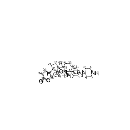 C[C@]12CCC(N3CCNCC3)C=C1CC[C@@H]1[C@@H]2CC[C@]2(C)[C@@H](c3ccc(=O)oc3)CC[C@]12O